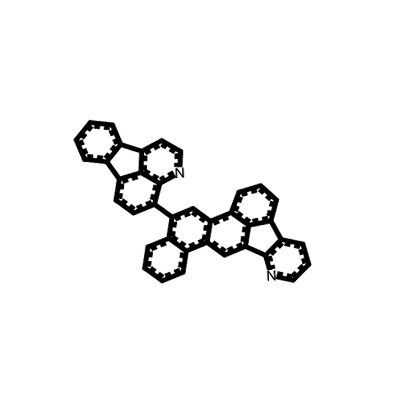 c1ccc2c(c1)-c1ccnc3c(-c4cc5c6cccc7c6c(cc5c5ccccc45)-c4ncccc4-7)ccc-2c13